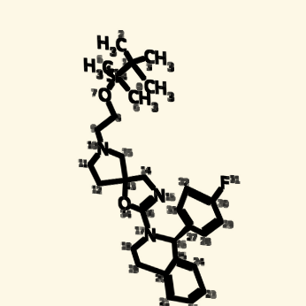 CC(C)(C)[Si](C)(C)OCCN1CCC2(CN=C(N3CCc4ccccc4[C@@H]3c3ccc(F)cc3)O2)C1